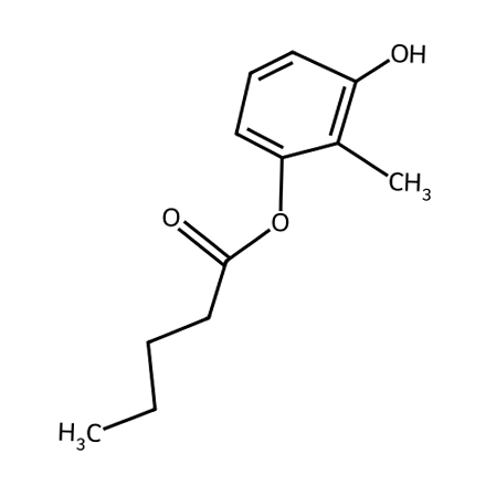 CCCCC(=O)Oc1cccc(O)c1C